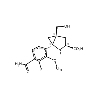 NC(=O)c1ccc([C@]23C[C@]2(CO)C[C@@H](C(=O)O)N3)c(OC(F)(F)F)c1F